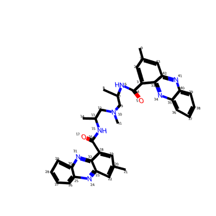 Cc1cc(C(=O)NC(C)CN(C)CC(C)NC(=O)c2cc(C)cc3nc4ccccc4nc23)c2nc3ccccc3nc2c1